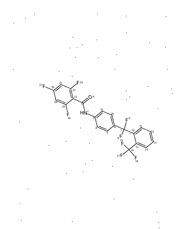 O=C(Nc1ccc(C(F)(F)c2ccccc2C(F)(F)F)cc1)c1c(F)cc(F)cc1F